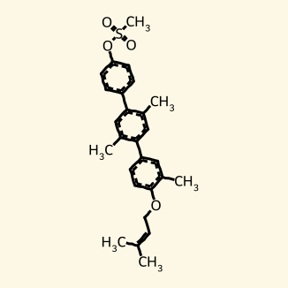 CC(C)=CCOc1ccc(-c2cc(C)c(-c3ccc(OS(C)(=O)=O)cc3)cc2C)cc1C